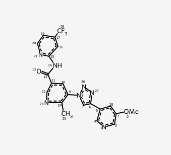 COc1cncc(-c2cn(-c3cc(C(=O)Nc4cc(C(F)(F)F)ccn4)cnc3C)nn2)c1